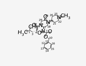 CC(C)C[C@H]1ON(C(=O)OCc2ccccc2)C2CN(C3CCN(C)CC3)C(=O)CN2C1=O